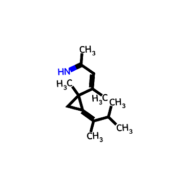 CC(=N)/C=C(/C)C1(C)C/C1=C(\C)C(C)C